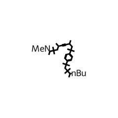 CCCCC(C)C(C)(C)CC(C)(C)c1ccc(C(C)(C)CC(C)C#CC(C)CC(C)(C)C(C)NC)cc1